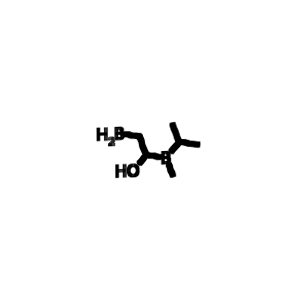 BCC(O)B(C)C(C)C